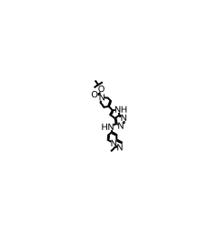 Cc1ncc2cc(Nc3ncnc4[nH]c(C5=CCN(C(=O)OC(C)(C)C)CC5)cc34)ccn12